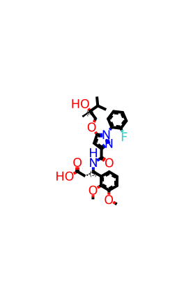 COc1cccc([C@H](CC(=O)O)NC(=O)c2cc(OC[C@](C)(O)C(C)C)n(-c3ccccc3F)n2)c1OC